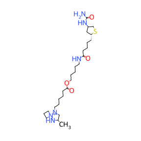 CC1CN(CCCCCC(=O)OCCCCCNC(=O)CCCC[C@@H]2C[C@@H](NC(N)=O)CS2)[N+]2(CCC2)N1